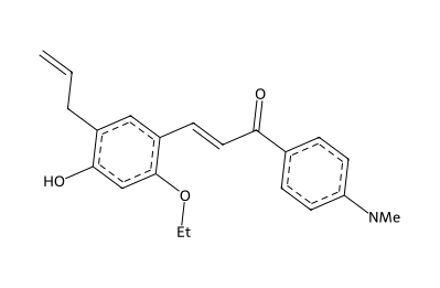 C=CCc1cc(C=CC(=O)c2ccc(NC)cc2)c(OCC)cc1O